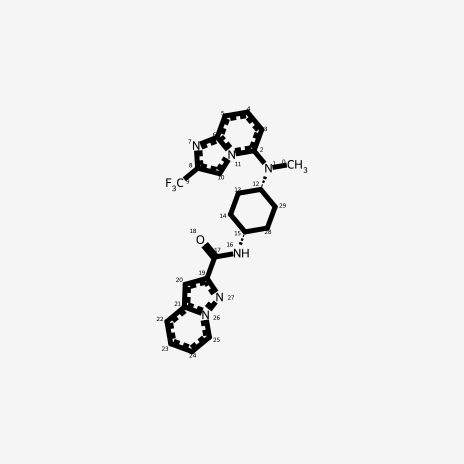 CN(c1cccc2nc(C(F)(F)F)cn12)[C@H]1CC[C@@H](NC(=O)c2cc3ccccn3n2)CC1